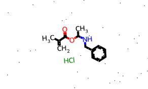 C=C(C)C(=O)OC(C)NCc1ccccc1.Cl